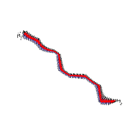 N/N=N/N=N/N=N/N=N/N=N/N=N/N=N/N=N/N=N/N=N/N=N/N=N/N=N/N=N/N=N/N=N/N=N/N=N/N=N/N=N/N=N/N=N/N=N/N=N/N=N/N=N/N=N/N=N/N=N/N=N/N=N/N=N/N=N/N=N/N=N/N=N/N=N/N=N/N=N/N=N/N=N/N=N/N=N/N=N/N=N/N=N/N=N/N=N/N=N/N=N/N=N/N=N/N=N/N=N/N=N/N=N/N=N/N=N/N=N/N=N/N